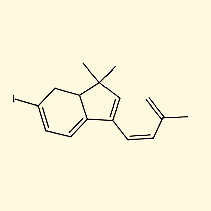 C=C(C)/C=C\C1=CC(C)(C)C2CC(I)=CC=C12